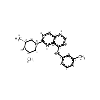 Cc1cccc(Nc2ncnc3cnc(N4C[C@@H](C)O[C@@H](C)C4)nc23)c1